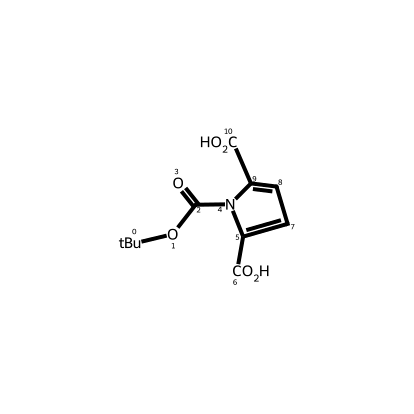 CC(C)(C)OC(=O)n1c(C(=O)O)ccc1C(=O)O